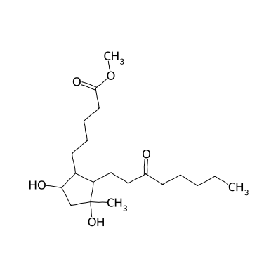 CCCCCC(=O)CCC1C(CCCCC(=O)OC)C(O)CC1(C)O